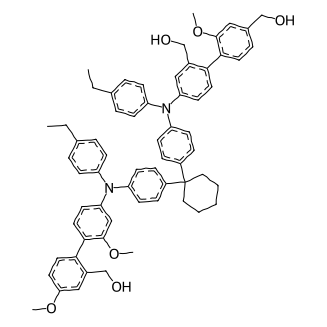 CCc1ccc(N(c2ccc(C3(c4ccc(N(c5ccc(CC)cc5)c5ccc(-c6ccc(OC)cc6CO)c(OC)c5)cc4)CCCCC3)cc2)c2ccc(-c3ccc(CO)cc3OC)c(CO)c2)cc1